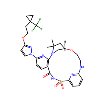 CC1(C)C[C@@H]2CN1c1nc(-n3ccc(OCCC4(C(F)(F)F)CC4)n3)ccc1C(=O)NS(=O)(=O)c1cccc(n1)NCCO2